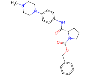 CN1CCN(c2ccc(NC(=O)[C@@H]3CCCN3C(=O)OCc3ccccc3)cc2)CC1